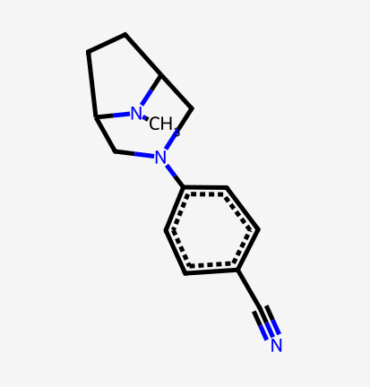 CN1C2CCC1CN(c1ccc(C#N)cc1)C2